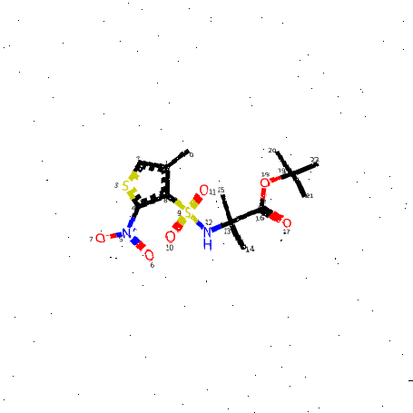 Cc1csc([N+](=O)[O-])c1S(=O)(=O)NC(C)(C)C(=O)OC(C)(C)C